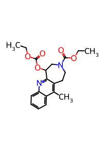 CCOC(=O)OC1CN(C(=O)OCC)CCc2c1nc1ccccc1c2C